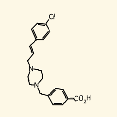 O=C(O)c1ccc(CN2CCN(C/C=C/c3ccc(Cl)cc3)CC2)cc1